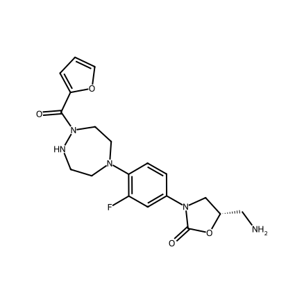 NC[C@H]1CN(c2ccc(N3CCNN(C(=O)c4ccco4)CC3)c(F)c2)C(=O)O1